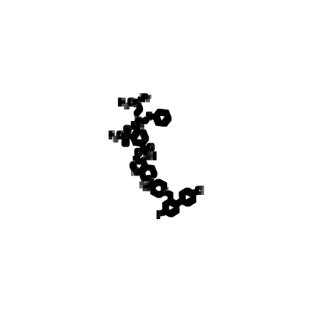 [2H]C1(N2CCc3c(ncnc3NS(=O)(=O)c3ccc(N[C@H](CCN(C)C(C)C)CSc4ccccc4)c(S(=O)(=O)C(F)(F)F)c3)C2)CCN(Cc2cc(F)ccc2-c2ccc(Cl)cc2)CC1